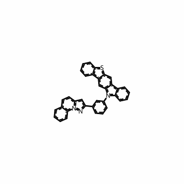 c1cc(-c2cc3ccc4ccccc4n3n2)cc(-n2c3ccccc3c3cc4sc5ccccc5c4cc32)c1